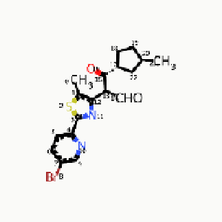 Cc1sc(-c2ccc(Br)cn2)nc1C(C=O)C(=O)[C@@H]1CC[C@@H](C)C1